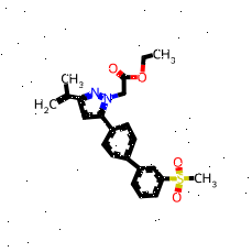 C=C(C)c1cc(-c2ccc(-c3cccc(S(C)(=O)=O)c3)cc2)n(CC(=O)OCC)n1